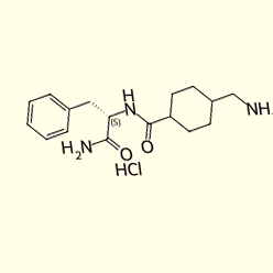 Cl.NCC1CCC(C(=O)N[C@@H](Cc2ccccc2)C(N)=O)CC1